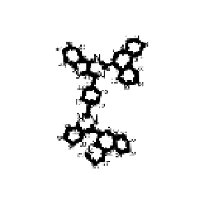 c1ccc2c(c1)cc(-c1nc(-c3ccc(-c4nc(-c5cc6ccccc6c6ccccc56)c5ccccc5n4)cc3)c3sc4ccccc4c3n1)c1ccccc12